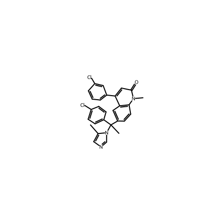 Cc1cncn1C(C)(c1ccc(Cl)cc1)c1ccc2c(c1)c(-c1cccc(Cl)c1)cc(=O)n2C